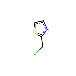 Cl[CH]c1nccs1